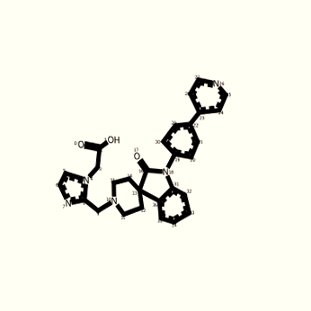 O=C(O)Cn1ccnc1CN1CCC2(CC1)C(=O)N(c1ccc(-c3ccncc3)cc1)c1ccccc12